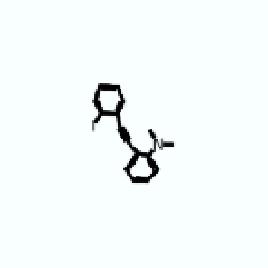 CN(C)c1ccccc1C#Cc1ccccc1I